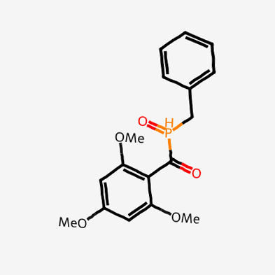 COc1cc(OC)c(C(=O)[PH](=O)Cc2ccccc2)c(OC)c1